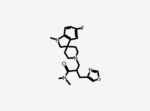 CN(C)C(=O)C(Cc1cscn1)CN1CCC2(CC1)CN(C)c1ccc(F)cc12